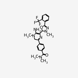 CN(C)C(=O)c1ccc(C2=NC(C3OC(c4ccccc4C(F)(F)F)=NN3C)=C(N)N(C)C2)cc1